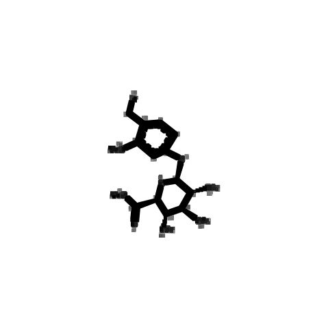 COC(=O)[C@H]1O[C@@H](Oc2ccc(CBr)c(OC)c2)[C@H](OC(C)=O)[C@@H](OC(C)=O)[C@@H]1OC(C)=O